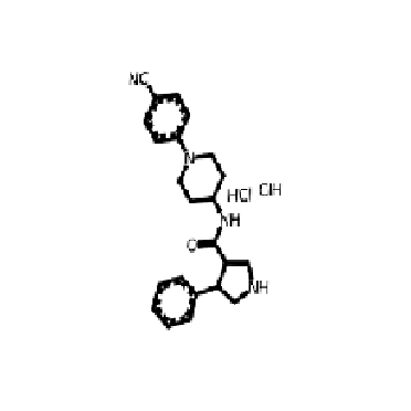 Cl.Cl.N#Cc1ccc(N2CCC(NC(=O)C3CNCC3c3ccccc3)CC2)cc1